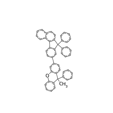 CC1(c2ccccc2)c2ccccc2Oc2cc(-c3ccc4c(c3)C(c3ccccc3)(c3ccccc3)c3ccc5ccccc5c3-4)ccc21